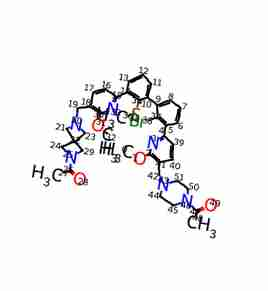 COc1nc(-c2cccc(-c3cccc(-c4ccc(CN5CC6(C5)CN(C(C)=O)C6)c(OC)n4)c3SC)c2Br)ccc1CN1CCN(C(C)=O)CC1